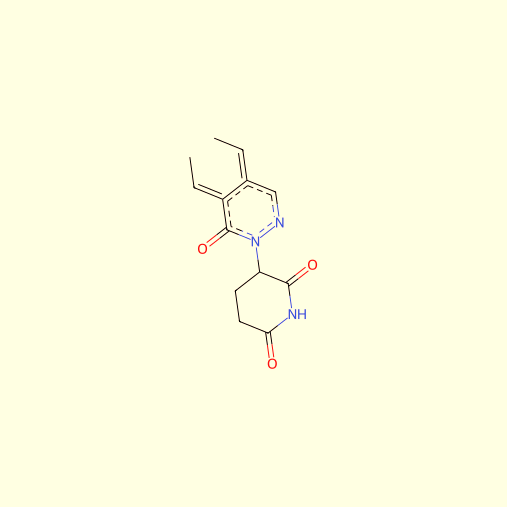 C/C=c1/cnn(C2CCC(=O)NC2=O)c(=O)/c1=C/C